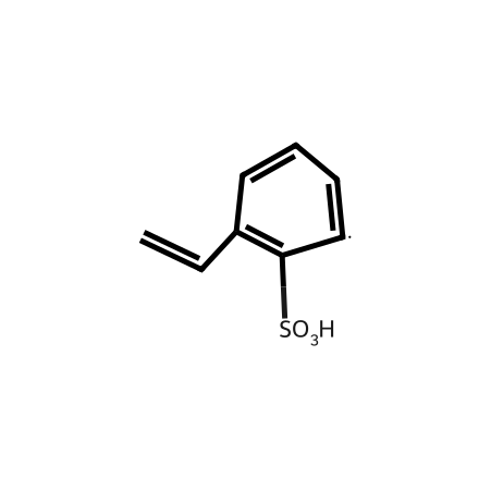 C=Cc1ccc[c]c1S(=O)(=O)O